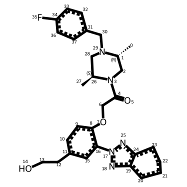 C[C@@H]1CN(C(=O)COc2ccc(CCO)cc2-n2nc3ccccc3n2)[C@@H](C)CN1Cc1ccc(F)cc1